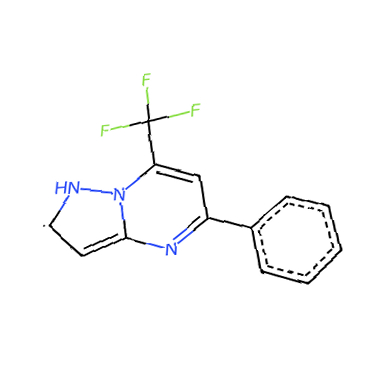 FC(F)(F)C1=CC(c2ccccc2)=NC2=C[CH]NN21